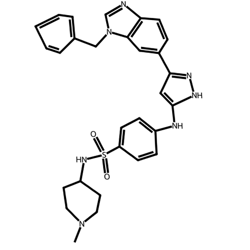 CN1CCC(NS(=O)(=O)c2ccc(Nc3cc(-c4ccc5ncn(Cc6ccccc6)c5c4)n[nH]3)cc2)CC1